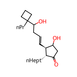 CCCCCCC[C@H]1C(=O)CC(O)[C@@H]1C=CCC(O)C1(CCC)CCC1